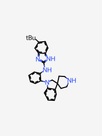 CC(C)(C)c1ccc2[nH]c(Nc3ccccc3N3CC4(CCNCC4)c4ccccc43)nc2c1